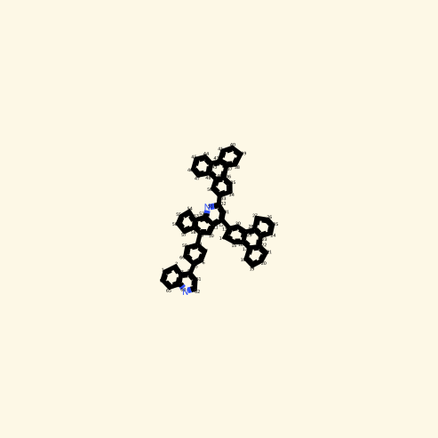 c1ccc2c(-c3ccc(-c4cc5c(-c6ccc7c8ccccc8c8ccccc8c7c6)cc(-c6ccc7c8ccccc8c8ccccc8c7c6)nc5c5ccccc45)cc3)ccnc2c1